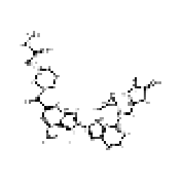 COc1cc(C(=O)N2CCC[C@@H](NC(=O)OC(C)(C)C)C2)cn2nc(-c3cc4ccnc(OCC5CNC(=O)C5)c4n3CC3CC3)c(C)c12